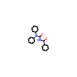 O=C(NC(=O)N(c1ccccc1)c1ccccc1)c1ccccc1